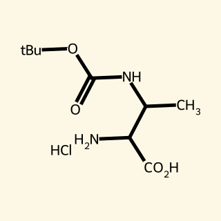 CC(NC(=O)OC(C)(C)C)C(N)C(=O)O.Cl